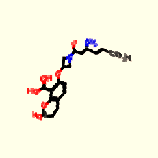 N[C@@H](CCC(=O)O)CC(=O)N1CC(Oc2ccc3c(c2C(O)O)OB(O)CC3)C1